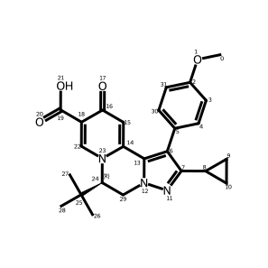 COc1ccc(-c2c(C3CC3)nn3c2-c2cc(=O)c(C(=O)O)cn2[C@H](C(C)(C)C)C3)cc1